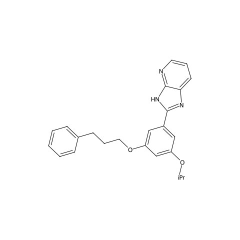 CC(C)Oc1cc(OCCCc2ccccc2)cc(-c2nc3cccnc3[nH]2)c1